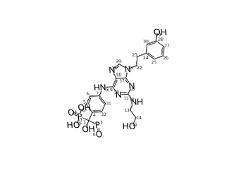 O=PC(O)(c1ccc(Nc2nc(NCCO)nc3c2ncn3CCc2cccc(O)c2)cc1)P(=O)(O)O